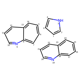 c1cc[nH]c1.c1ccc2ncccc2c1.c1ccc2ncccc2c1